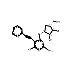 Nc1nc(Cl)c(C#Cc2ccccn2)c(N[C@@H]2C[C@H](CO)[C@@H](O)[C@H]2O)n1